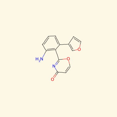 Nc1cccc(-c2ccoc2)c1-c1nc(=O)cco1